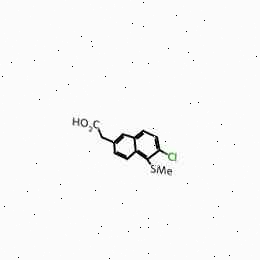 CSc1c(Cl)ccc2cc(CC(=O)O)ccc12